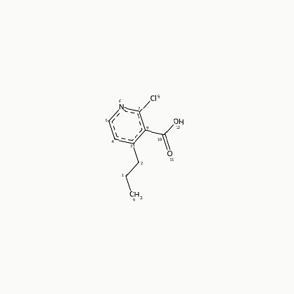 CCCc1ccnc(Cl)c1C(=O)O